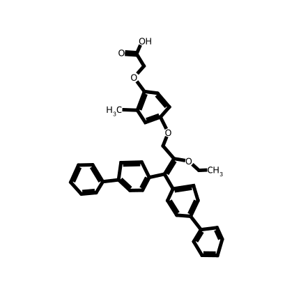 CCOC(COc1ccc(OCC(=O)O)c(C)c1)=C(c1ccc(-c2ccccc2)cc1)c1ccc(-c2ccccc2)cc1